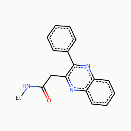 CCNC(=O)Cc1nc2ccccc2nc1-c1ccccc1